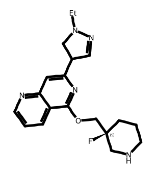 CCN1CC(c2cc3ncccc3c(OC[C@]3(F)CCCNC3)n2)C=N1